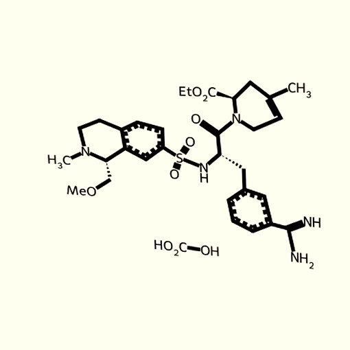 CCOC(=O)[C@H]1CC(C)=CCN1C(=O)[C@H](Cc1cccc(C(=N)N)c1)NS(=O)(=O)c1ccc2c(c1)[C@H](COC)N(C)CC2.O=C(O)O